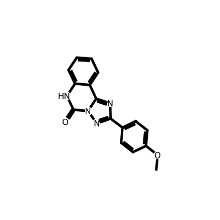 COc1ccc(-c2nc3c4ccccc4[nH]c(=O)n3n2)cc1